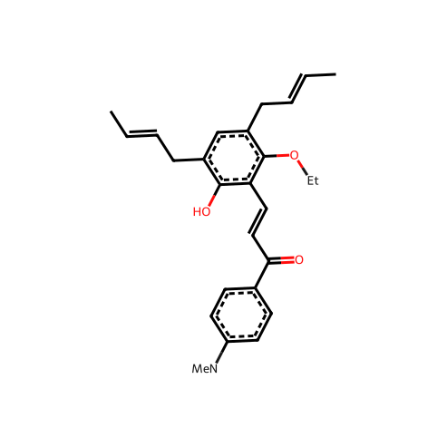 CC=CCc1cc(CC=CC)c(OCC)c(C=CC(=O)c2ccc(NC)cc2)c1O